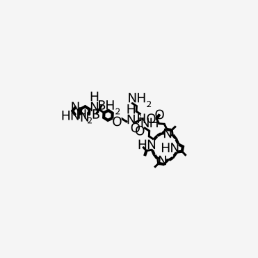 BC(B)(Nc1cnc2[nH]cnc2c1)c1ccc(OCCNC(=O)[C@H](CCCCN)NC(=O)CCc2cc3nc(cc4cc(C)c(cc5nc(cc(C(=C)C)[nH]2)C(C)=C5)[nH]4)C(C)=C3CCC(=O)O)cc1